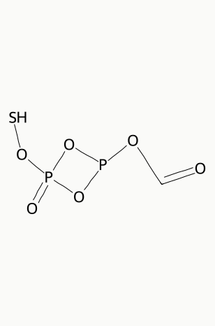 O=COP1OP(=O)(OS)O1